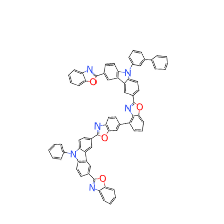 c1ccc(-c2cccc(-n3c4ccc(-c5nc6ccccc6o5)cc4c4cc(-c5nc6c(-c7ccc8nc(-c9ccc%10c(c9)c9cc(-c%11nc%12ccccc%12o%11)ccc9n%10-c9ccccc9)oc8c7)cccc6o5)ccc43)c2)cc1